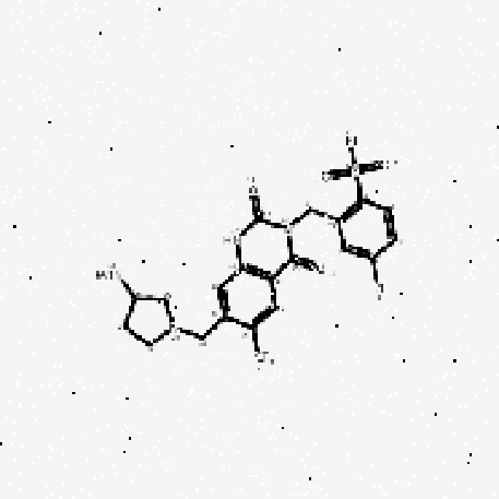 CCS(=O)(=O)c1ccc(Cl)cc1Cn1c(=O)[nH]c2cc(CN3CCC(NC)C3)c(C(F)(F)F)cc2c1=O